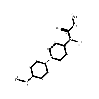 CC(C)O[C@H]1CC[C@H](N2CCC(N(C)C(=O)OC(C)(C)C)CC2)CC1